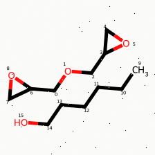 C(OCC1CO1)C1CO1.CCCCCCO